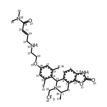 C[C@@H]1Cc2c(ccc3[nH]c(=O)oc23)C(c2c(F)cc(OCCNC/C=C/C(=O)N(C)C)cc2F)N1CC(F)(F)F